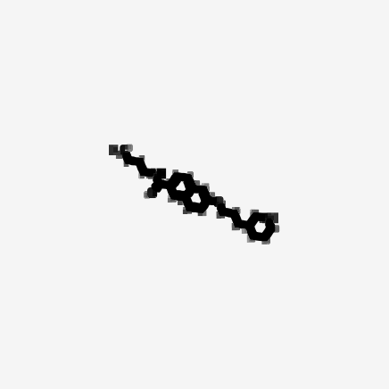 CCCCNC(=O)c1ccc2cc(OCCCC3CCCNC3)ccc2c1